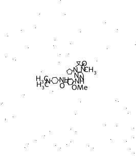 COc1cc(C(=O)NC2CCC(N(C)C)CC2)ccc1Nc1ncc2c(n1)N(C1CCCC1)CC1(CC1)C(=O)N2C